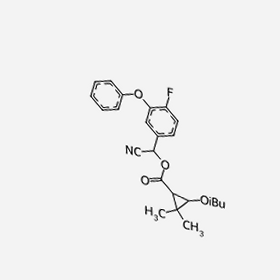 CC(C)COC1C(C(=O)OC(C#N)c2ccc(F)c(Oc3ccccc3)c2)C1(C)C